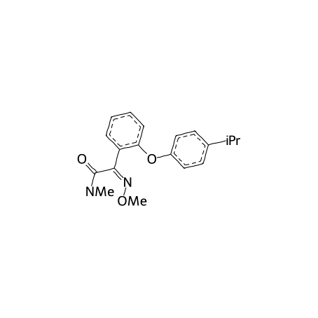 CNC(=O)C(=NOC)c1ccccc1Oc1ccc(C(C)C)cc1